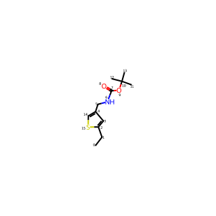 CCc1cc(CNC(=O)OC(C)(C)C)cs1